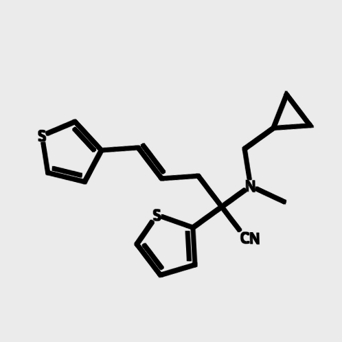 CN(CC1CC1)C(C#N)(CC=Cc1ccsc1)c1cccs1